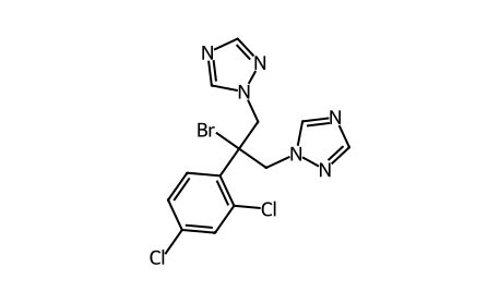 Clc1ccc(C(Br)(Cn2cncn2)Cn2cncn2)c(Cl)c1